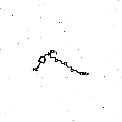 C#Cc1ccc(CN(C)CCOCCOCCOCCOC)cc1